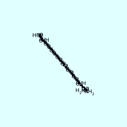 NC(=O)[C@@H](N)CCCCNC(=O)CCOCCOCCOCCOCCOCCOCCOCCOCCOCCOCCOCCOCCNC(=O)CCC(=O)O